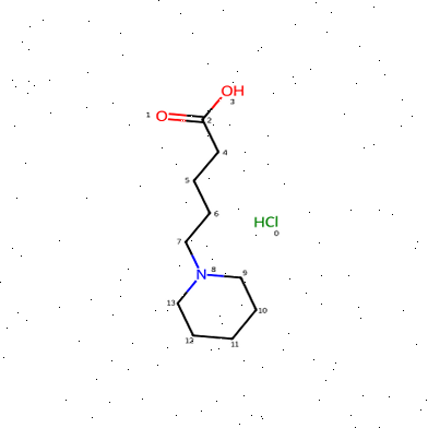 Cl.O=C(O)CCCCN1CCCCC1